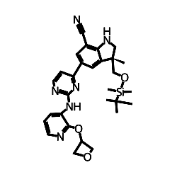 CC(C)(C)[Si](C)(C)OC[C@@]1(C)CNc2c(C#N)cc(-c3ccnc(Nc4cccnc4OC4COC4)n3)cc21